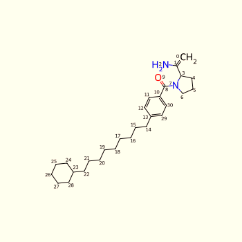 C=C(N)C1CCCN1C(=O)c1ccc(CCCCCCCCCC2CCCCC2)cc1